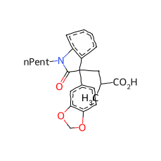 CCCCCN1C(=O)C(CC(C)C(=O)O)(c2ccc3c(c2)OCO3)c2ccccc21